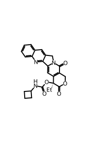 CC[C@@]1(OC(=O)NC2CCC2)C(=O)OCc2c1cc1n(c2=O)Cc2cc3ccccc3nc2-1